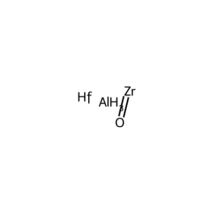 [AlH3].[Hf].[O]=[Zr]